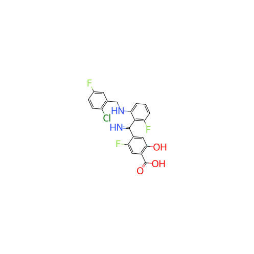 N=C(c1cc(O)c(C(=O)O)cc1F)c1c(F)cccc1NCc1cc(F)ccc1Cl